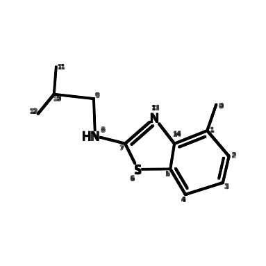 Cc1cccc2sc(NCC(C)C)nc12